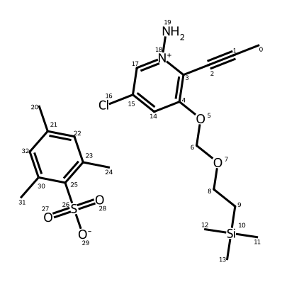 CC#Cc1c(OCOCC[Si](C)(C)C)cc(Cl)c[n+]1N.Cc1cc(C)c(S(=O)(=O)[O-])c(C)c1